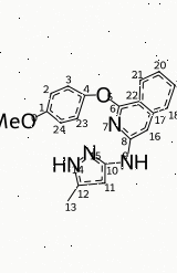 COc1ccc(Oc2nc(Nc3cc(C)[nH]n3)cc3ccccc23)cc1